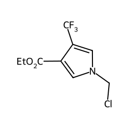 CCOC(=O)c1cn(CCl)cc1C(F)(F)F